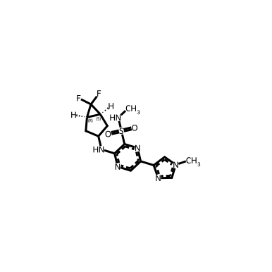 CNS(=O)(=O)c1nc(-c2cn(C)cn2)cnc1NC1C[C@@H]2[C@H](C1)C2(F)F